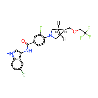 O=C(Nc1c[nH]c2ccc(Cl)cc12)c1ccc(N2C[C@@H]3[C@@H](COCC(F)(F)F)[C@@H]3C2)c(F)c1